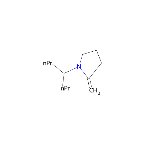 C=C1CCCN1C(CCC)CCC